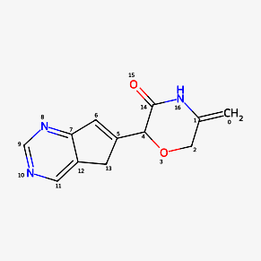 C=C1COC(C2=Cc3ncncc3C2)C(=O)N1